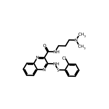 CN(C)CCCNC(=O)c1nc2ccccc2nc1NSc1ccccc1Cl